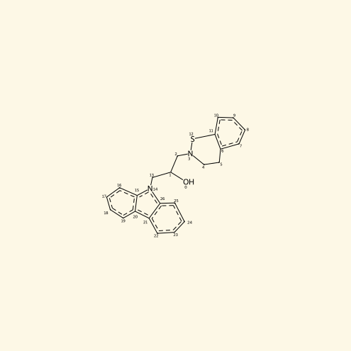 OC(CN1CCc2ccccc2S1)Cn1c2ccccc2c2ccccc21